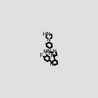 Cc1cc(-c2ncccc2-c2ccnc(Nc3ccc(N4CCNCC4)cc3)n2)ccc1F